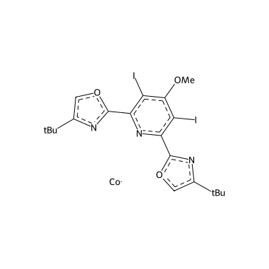 COc1c(I)c(-c2nc(C(C)(C)C)co2)nc(-c2nc(C(C)(C)C)co2)c1I.[Co]